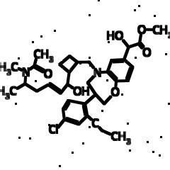 CCCc1cc(Cl)ccc1C1COc2ccc(C(O)C(=O)OC)cc2N(CC2CCC2C(O)/C=C/CC(C)N(C)C(C)=O)C1